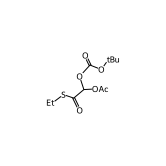 CCSC(=O)C(OC(C)=O)OC(=O)OC(C)(C)C